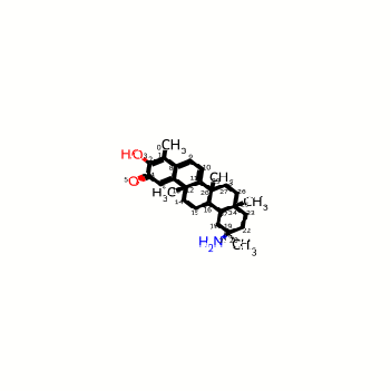 CC1=C(O)C(=O)C=C2C1=CC=C1C2(C)CCC2C3C[C@](C)(N)CCC3(C)CCC12C